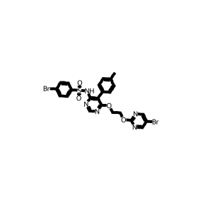 Cc1ccc(-c2c(NS(=O)(=O)c3ccc(Br)cc3)ncnc2OCCOc2ncc(Br)cn2)cc1